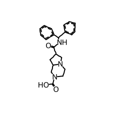 O=C(NC(c1ccccc1)c1ccccc1)C1CC2CN(C(=O)O)CCN2C1